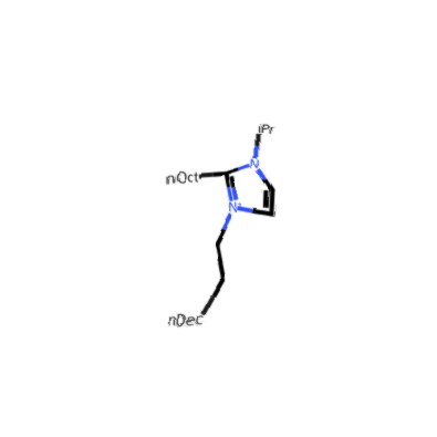 CCCCCCCCCCCC[n+]1ccn(C(C)C)c1CCCCCCCC